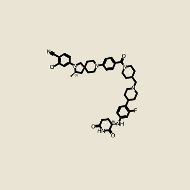 C[C@@H]1CC2(CCN(c3ccc(C(=O)N4CCC(CN5CCC(c6ccc(N[C@@H]7CCC(=O)NC7=O)cc6F)CC5)CC4)cc3)CC2)CN1c1ccc(C#N)c(Cl)c1